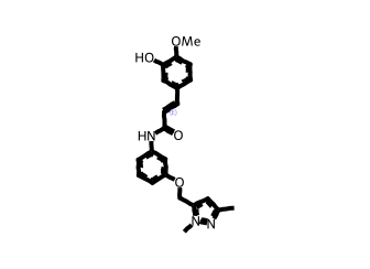 COc1ccc(/C=C/C(=O)Nc2cccc(OCc3cc(C)nn3C)c2)cc1O